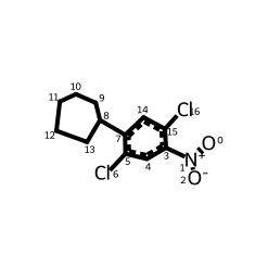 O=[N+]([O-])c1cc(Cl)c(C2CCCCC2)cc1Cl